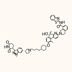 Cc1c(O[C@H]2CC[C@H](CCCCN3CC[C@H](c4ccc5c(C6CCC(=O)NC6=O)nn(C)c5c4)C3)CC2)cccc1-c1ccc(N2CCc3cccc(C(=O)Nc4nc5ccccc5s4)c3C2)nc1C(=O)O